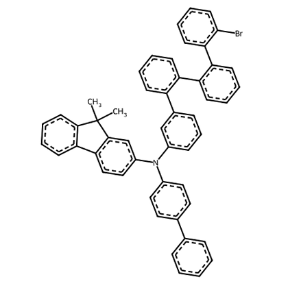 CC1(C)c2ccccc2-c2ccc(N(c3ccc(-c4ccccc4)cc3)c3cccc(-c4ccccc4-c4ccccc4-c4ccccc4Br)c3)cc21